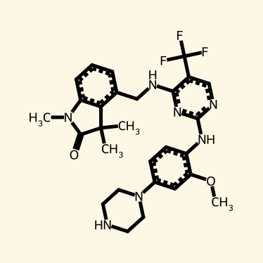 COc1cc(N2CCNCC2)ccc1Nc1ncc(C(F)(F)F)c(NCc2cccc3c2C(C)(C)C(=O)N3C)n1